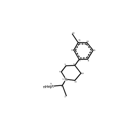 CCCCCCCC(C)N1CCC(c2cccc(C)c2)CC1